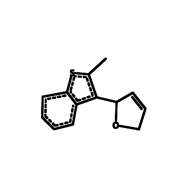 Cc1sc2ccccc2c1C1C=CCO1